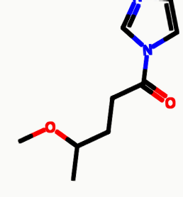 COC(C)CCC(=O)n1ccnc1